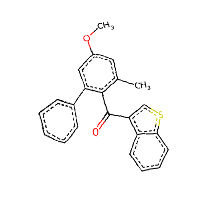 COc1cc(C)c(C(=O)c2csc3ccccc23)c(-c2ccccc2)c1